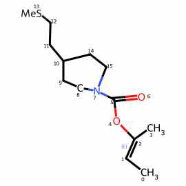 C/C=C(\C)OC(=O)N1CCC(CCSC)CC1